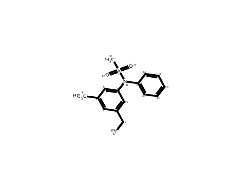 CC(C)Cc1cc(C(=O)O)cc(N(c2ccccc2)S(C)(=O)=O)c1